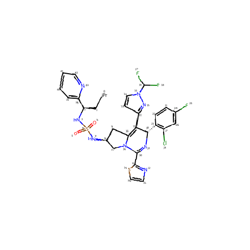 CC(C)C[C@@H](NS(=O)(=O)N[C@H]1CC2=C(c3ccn(C(F)F)n3)[C@H](c3ccc(F)cc3Cl)N=C(c3nccs3)N2C1)c1ccccn1